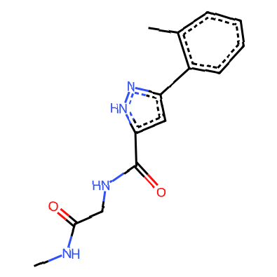 CNC(=O)CNC(=O)c1cc(-c2ccccc2C)n[nH]1